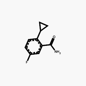 NC(=O)c1cc(F)ccc1C1CC1